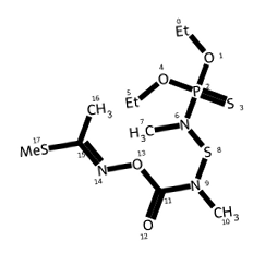 CCOP(=S)(OCC)N(C)SN(C)C(=O)ON=C(C)SC